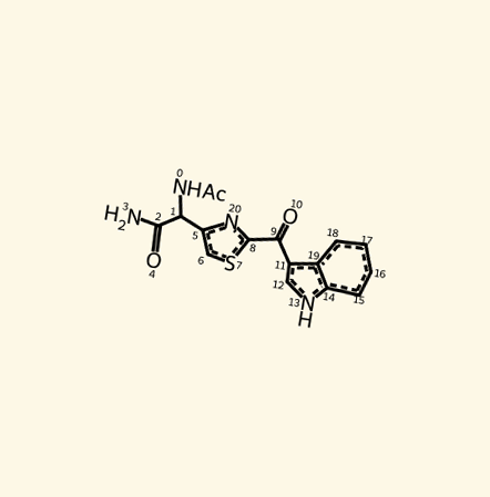 CC(=O)NC(C(N)=O)c1csc(C(=O)c2c[nH]c3ccccc23)n1